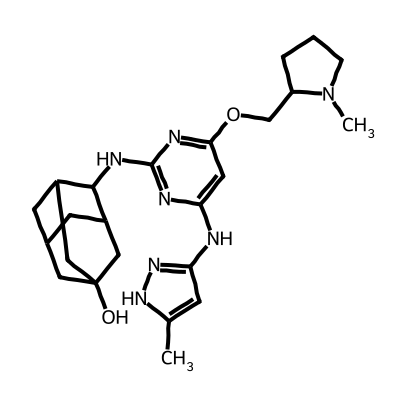 Cc1cc(Nc2cc(OCC3CCCN3C)nc(NC3C4CC5CC3CC(O)(C5)C4)n2)n[nH]1